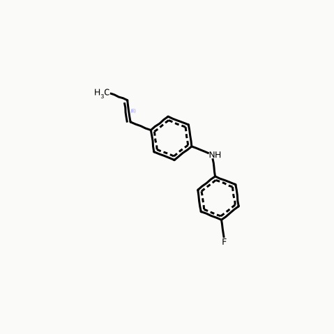 C/C=C/c1ccc(Nc2ccc(F)cc2)cc1